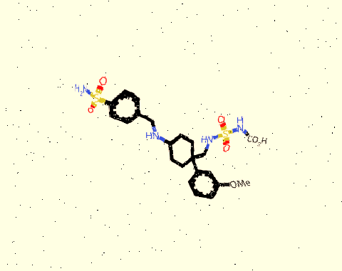 COc1cccc(C2(CNS(=O)(=O)NC(=O)O)CCC(NCc3ccc(S(N)(=O)=O)cc3)CC2)c1